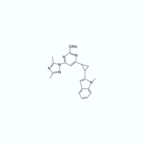 COc1nc(C2CC2c2cc3ccccc3n2C)cc(-n2nc(C)nc2C)n1